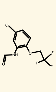 O=CNc1cc(Cl)ccc1OCC(F)(F)F